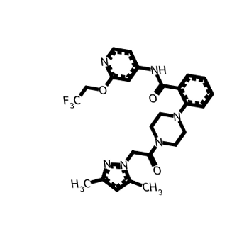 Cc1cc(C)n(CC(=O)N2CCN(c3ccccc3C(=O)Nc3ccnc(OCC(F)(F)F)c3)CC2)n1